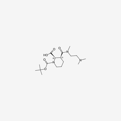 CN(C)CCN(C)C(=O)[C@H]1CCCN(C(=O)OC(C)(C)C)[C@H]1C(=O)O